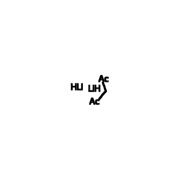 CC(=O)CC(C)=O.[LiH].[LiH]